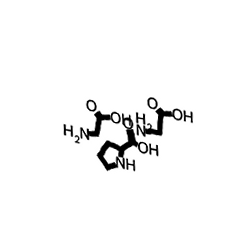 NCC(=O)O.NCC(=O)O.O=C(O)C1CCCN1